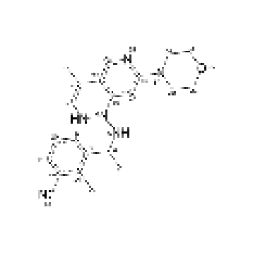 CC1=CNN(NC(C)c2cccc(C#N)c2C)c2cc(N3CCOCC3)ncc21